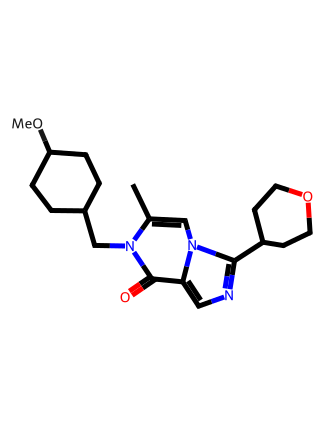 COC1CCC(Cn2c(C)cn3c(C4CCOCC4)ncc3c2=O)CC1